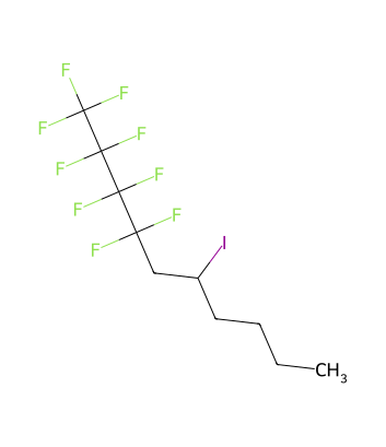 CCCCC(I)CC(F)(F)C(F)(F)C(F)(F)C(F)(F)F